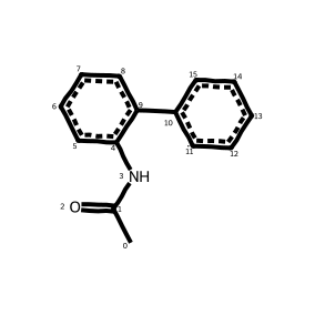 CC(=O)Nc1ccccc1-c1[c]cccc1